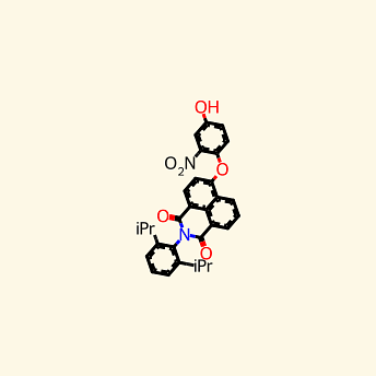 CC(C)c1cccc(C(C)C)c1N1C(=O)c2cccc3c(Oc4ccc(O)cc4[N+](=O)[O-])ccc(c23)C1=O